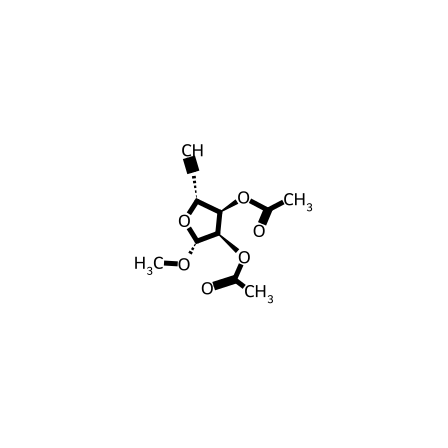 C#C[C@H]1O[C@@H](OC)[C@H](OC(C)=O)[C@@H]1OC(C)=O